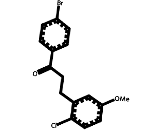 COc1ccc(Cl)c(CCC(=O)c2ccc(Br)cc2)c1